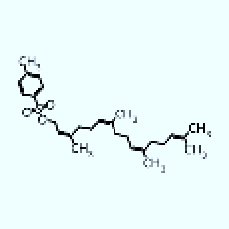 CC(C)=CCCC(C)=CCCC(C)=CCCC(C)=CCOS(=O)(=O)c1ccc(C)cc1